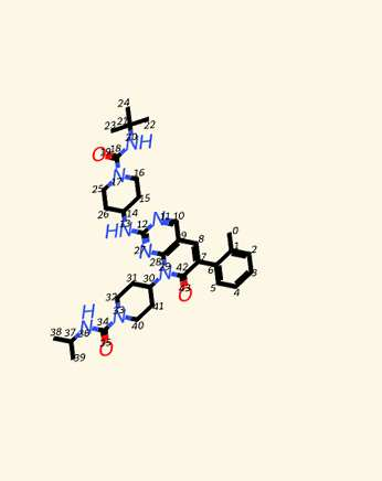 Cc1ccccc1-c1cc2cnc(NC3CCN(C(=O)NC(C)(C)C)CC3)nc2n(C2CCN(C(=O)NC(C)C)CC2)c1=O